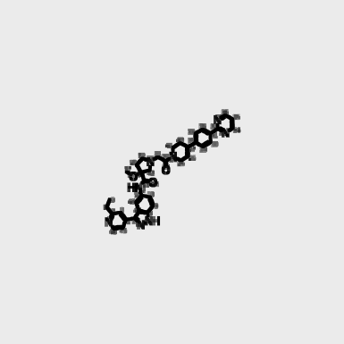 CCc1cc(-c2n[nH]c3ccc(NC(=O)[C@]4(OC)CCN(CC(=O)N5CC=C(c6ccc(-c7ncccn7)cc6)CC5)C4)cc23)ccn1